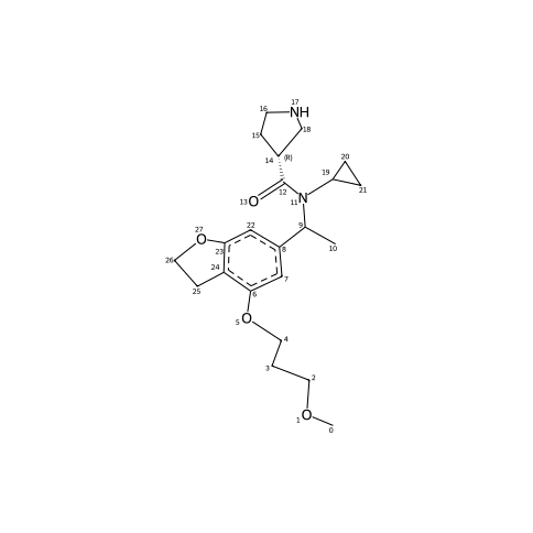 COCCCOc1cc(C(C)N(C(=O)[C@@H]2CCNC2)C2CC2)cc2c1CCO2